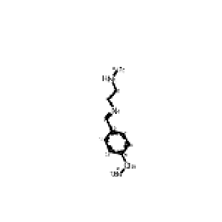 CC(C)NCC/N=C/c1ccc(OC(C)(C)C)cc1